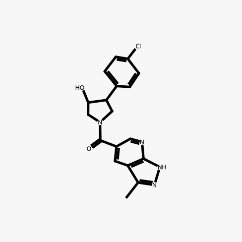 Cc1n[nH]c2ncc(C(=O)N3CC(O)C(c4ccc(Cl)cc4)C3)cc12